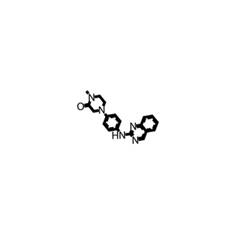 CN1CCN(c2ccc(Nc3ncc4ccccc4n3)cc2)CC1=O